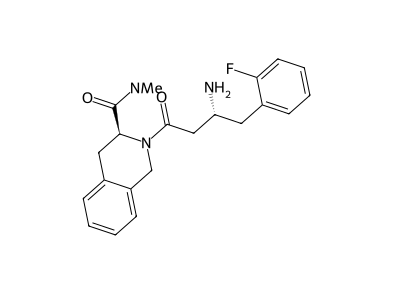 CNC(=O)[C@@H]1Cc2ccccc2CN1C(=O)C[C@H](N)Cc1ccccc1F